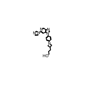 OCCCC1CN(c2ccc(-n3cnc4cnc(-n5ccnc5)cc43)cc2)C1